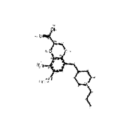 CCCN1CCC(Cc2cc(Cl)c(N)c3c2OCC(C(=O)O)O3)CC1.Cl